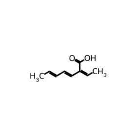 CC=CC=CC(=CC)C(=O)O